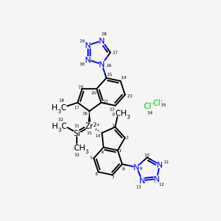 CC1=Cc2c(cccc2-n2cnnn2)[C@@H]1[Zr+2]([C@H]1C(C)=Cc2c1cccc2-n1cnnn1)=[Si](C)C.[Cl-].[Cl-]